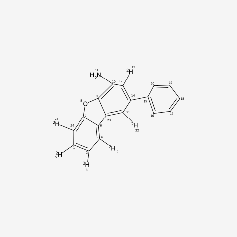 [2H]c1c([2H])c([2H])c2c(oc3c(N)c([2H])c(-c4ccccc4)c([2H])c32)c1[2H]